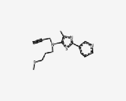 C#CCN(CCCSC)c1sc(-c2cccnc2)nc1C